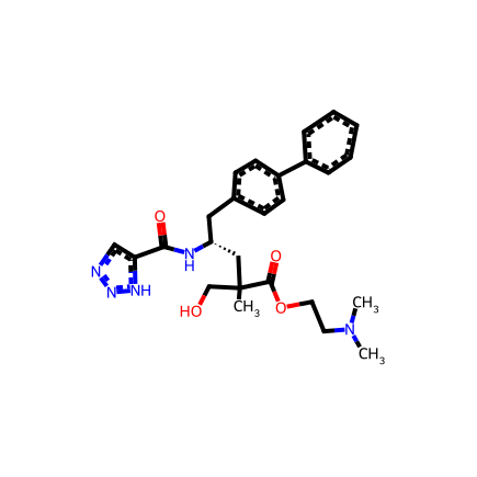 CN(C)CCOC(=O)C(C)(CO)C[C@@H](Cc1ccc(-c2ccccc2)cc1)NC(=O)c1cnn[nH]1